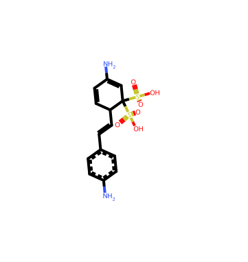 NC1=CC(S(=O)(=O)O)(S(=O)(=O)O)C(C=Cc2ccc(N)cc2)C=C1